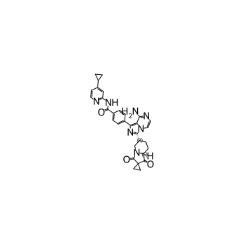 Nc1nccn2c([C@@H]3CC[C@H]4C(=O)C5(CC5)C(=O)N4C3)nc(-c3ccc(C(=O)Nc4cc(C5CC5)ccn4)cc3)c12